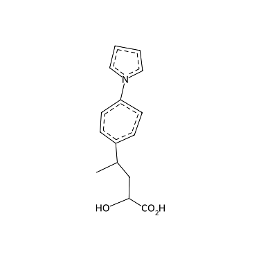 CC(CC(O)C(=O)O)c1ccc(-n2cccc2)cc1